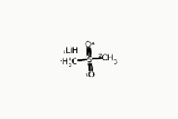 [CH2]S(C)(=O)=O.[LiH]